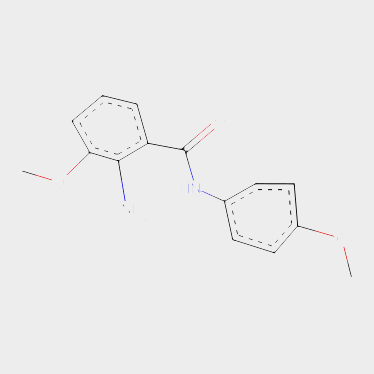 COc1ccc(NC(=O)c2cccc(OC)c2N)cc1